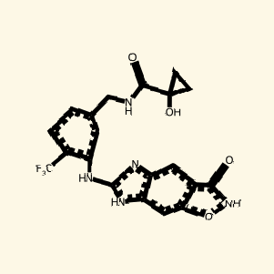 O=C(NCc1ccc(C(F)(F)F)c(Nc2nc3cc4c(=O)[nH]oc4cc3[nH]2)c1)C1(O)CC1